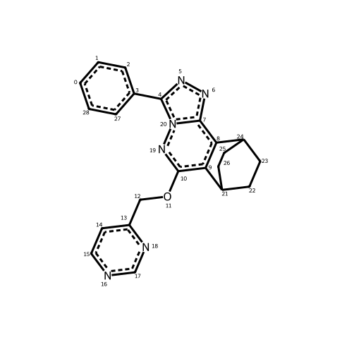 c1ccc(-c2nnc3c4c(c(OCc5ccncn5)nn23)C2CCC4CC2)cc1